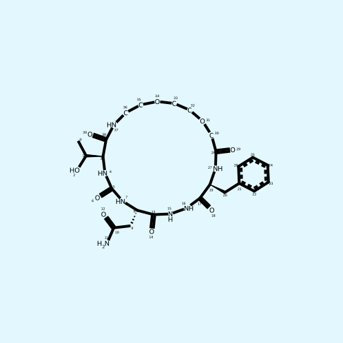 CC(O)[C@@H]1NC(=O)N[C@@H](CC(N)=O)C(=O)NNC(=O)[C@H](Cc2ccccc2)NC(=O)COCCOCCNC1=O